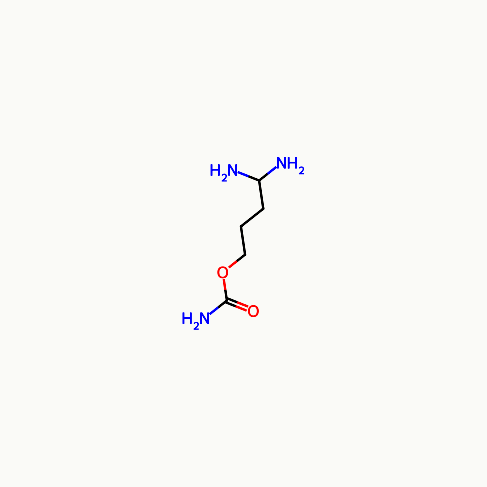 NC(=O)OCCCC(N)N